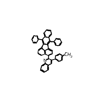 Cc1ccc(-c2cc3ccccc3nc2-c2ccc3c4c(cccc24)-c2c-3c(-c3ccccc3)c3ccccc3c2-c2ccccc2)cc1